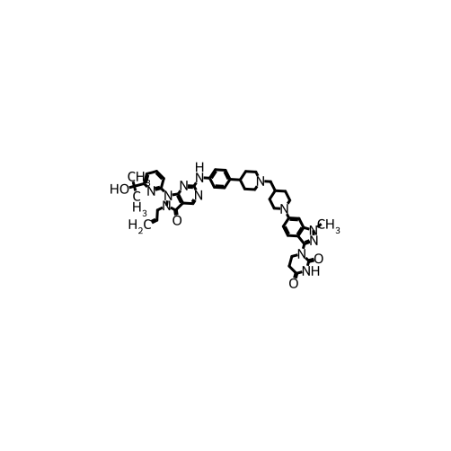 C=CCn1c(=O)c2cnc(Nc3ccc(C4CCN(CC5CCN(c6ccc7c(N8CCC(=O)NC8=O)nn(C)c7c6)CC5)CC4)cc3)nc2n1-c1cccc(C(C)(C)O)n1